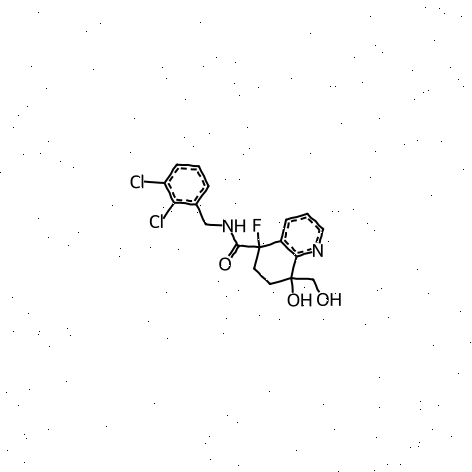 O=C(NCc1cccc(Cl)c1Cl)C1(F)CCC(O)(CO)c2ncccc21